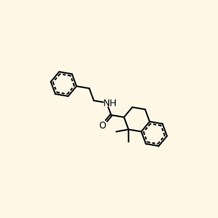 CC1(C)c2ccccc2CCC1C(=O)NCCc1ccccc1